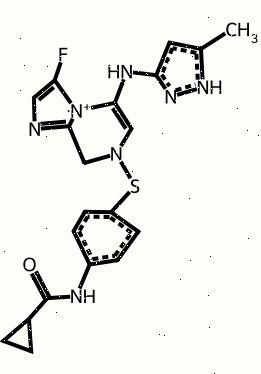 Cc1cc(NC2=CN(Sc3ccc(NC(=O)C4CC4)cc3)CC3=NC=C(F)[N+]23)n[nH]1